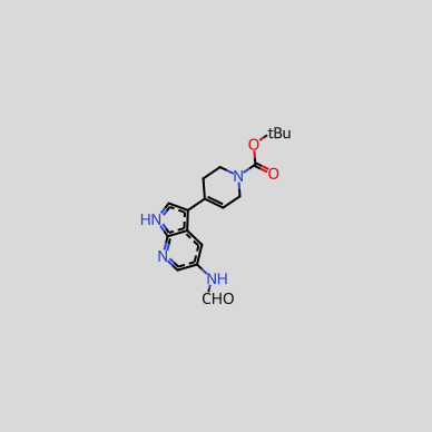 CC(C)(C)OC(=O)N1CC=C(c2c[nH]c3ncc(NC=O)cc23)CC1